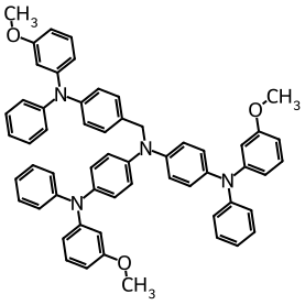 COc1cccc(N(c2ccccc2)c2ccc(CN(c3ccc(N(c4ccccc4)c4cccc(OC)c4)cc3)c3ccc(N(c4ccccc4)c4cccc(OC)c4)cc3)cc2)c1